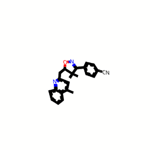 Cc1cc(CC2ON=C(c3ccc(C#N)cc3)C2(C)C)nc2ccccc12